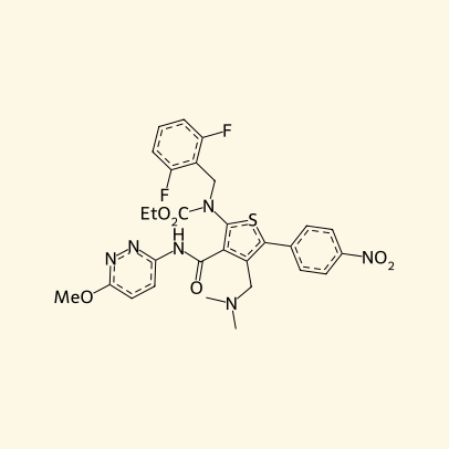 CCOC(=O)N(Cc1c(F)cccc1F)c1sc(-c2ccc([N+](=O)[O-])cc2)c(CN(C)C)c1C(=O)Nc1ccc(OC)nn1